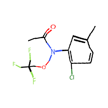 CC(=O)N(OC(F)(F)F)c1cc(C)ccc1Cl